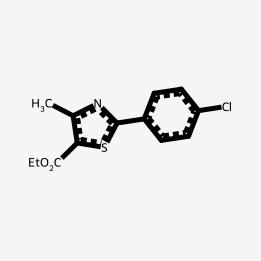 CCOC(=O)c1sc(-c2ccc(Cl)cc2)nc1C